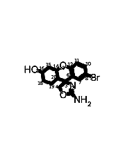 NC1=NC2(CO1)c1cc(Br)ccc1OC1CC(O)CCC12